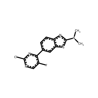 CN(C)c1nc2ccc(-c3nc(Cl)ncc3F)cc2s1